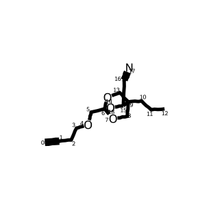 C#CCCOCC12OCC(CCC)(CO1)C(C#N)O2